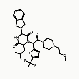 COCCN1CCN(C(=O)C(c2ccc(C(F)(F)F)o2)N2C(=O)C(C3Cc4ccccc4C3)NC(=O)C2CC(C)C)CC1